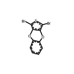 Brc1sc(Br)c2c1Oc1ccccc1O2